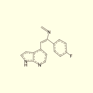 C=N/C(=C/c1ccnc2[nH]ccc12)c1ccc(F)cc1